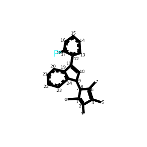 CC1=C(C)C(C)=C(C)[C]1C1C=C(c2ccccc2F)c2ccccc21